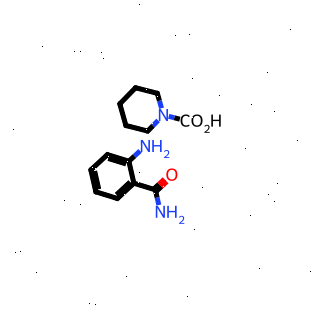 NC(=O)c1ccccc1N.O=C(O)N1CCCCC1